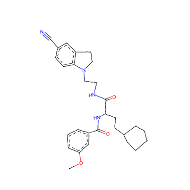 COc1cccc(C(=O)NC(CCC2CCCCC2)C(=O)NCCN2CCc3cc(C#N)ccc32)c1